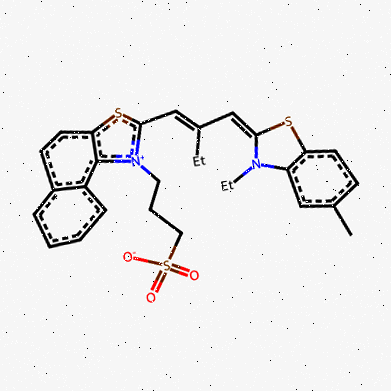 CCC(=Cc1sc2ccc3ccccc3c2[n+]1CCCS(=O)(=O)[O-])C=C1Sc2ccc(C)cc2N1CC